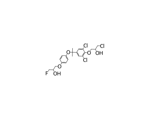 CC(C)(Oc1ccc(OCC(O)CF)cc1)c1cc(Cl)c(OCC(O)CCl)c(Cl)c1